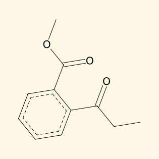 CCC(=O)c1ccccc1C(=O)OC